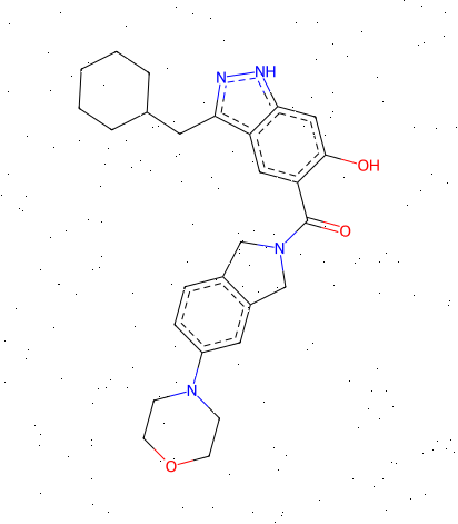 O=C(c1cc2c(CC3CCCCC3)n[nH]c2cc1O)N1Cc2ccc(N3CCOCC3)cc2C1